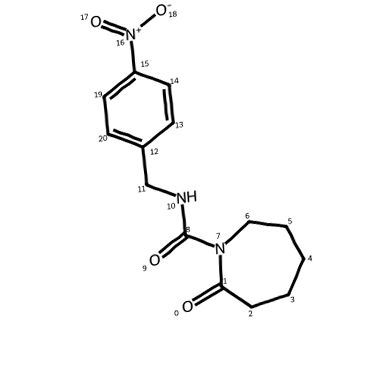 O=C1[CH]CCCCN1C(=O)NCc1ccc([N+](=O)[O-])cc1